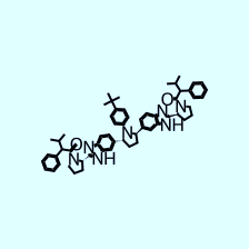 CC(C)C(C(=O)N1CCC[C@H]1c1nc2ccc([C@H]3CC[C@H](c4ccc5nc([C@@H]6CCCN6C(=O)C(c6ccccc6)C(C)C)[nH]c5c4)N3c3ccc(C(C)(C)C)cc3)cc2[nH]1)c1ccccc1